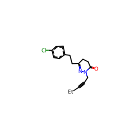 CCC#CCN1N=C(CCc2ccc(Cl)cc2)CCC1=O